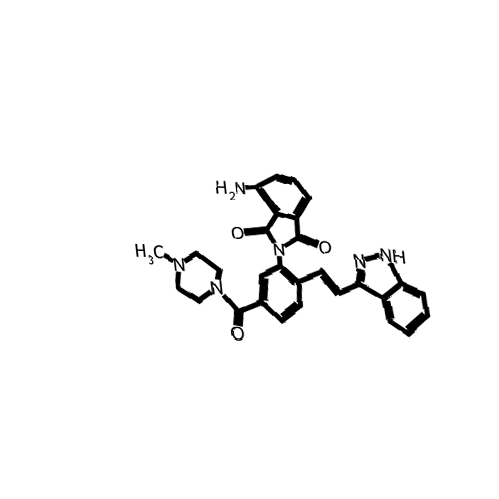 CN1CCN(C(=O)c2ccc(C=Cc3n[nH]c4ccccc34)c(N3C(=O)c4cccc(N)c4C3=O)c2)CC1